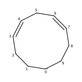 [CH]1CC/C=C\C/C=C\CC1